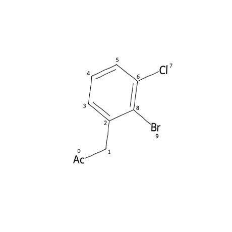 CC(=O)Cc1cccc(Cl)c1Br